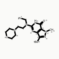 CC(C)CN(CCN1CCOCC1)c1nc2c(C(C)(C)C)nn(C)c2c(=O)[nH]1